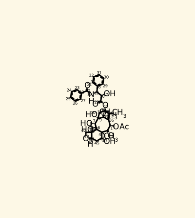 CC(=O)O[C@H]1C(=O)[C@@]2(C)[C@H]([C@H](O)[C@]3(O)C[C@H](OC(=O)[C@H](O)[C@@H](NC(=O)c4ccccc4)c4ccccc4)C(C)=C1C3(C)C)[C@]1(O)CO[C@@H]1C[C@@H]2O